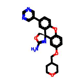 NC1=N[C@]2(CO1)c1cc(OCC3CCOCC3)ccc1Oc1ccc(-c3cncnc3)cc12